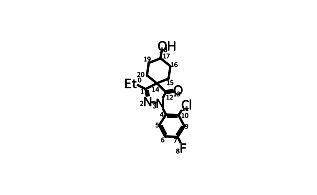 CCC1=NN(c2ccc(F)cc2Cl)C(=O)C12CCC(O)CC2